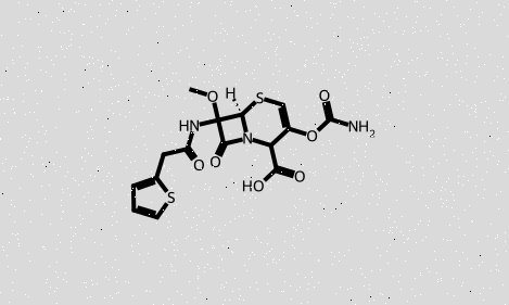 COC1(NC(=O)Cc2cccs2)C(=O)N2C(C(=O)O)C(OC(N)=O)=CS[C@@H]21